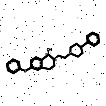 O[C@H]1c2ccc(Oc3ccccc3)cc2CC[C@@H]1CCN1CCC(c2ccccc2)CC1